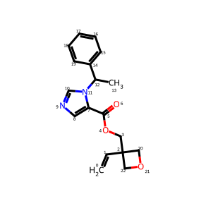 C=CC1(COC(=O)c2cncn2C(C)c2ccccc2)COC1